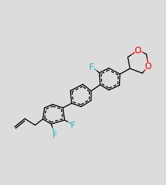 C=CCc1ccc(-c2ccc(-c3ccc(C4COCOC4)cc3F)cc2)c(F)c1F